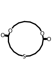 O=C1CCCCSCCCCC(=O)OCCCCCCO1